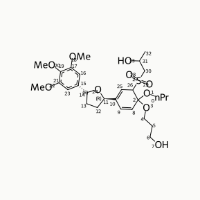 CCCOC1(OCCCO)C=CC([C@H]2CC[C@H](c3cc(OC)c(OC)c(OC)c3)O2)=CC1S(=O)(=O)CC(C)O